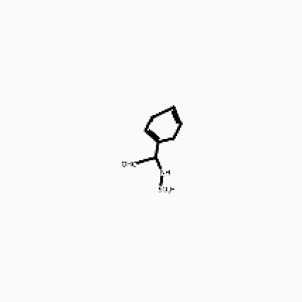 O=[C]C(NS(=O)(=O)O)C1=CCC=CC1